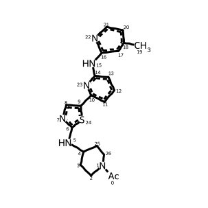 CC(=O)N1CCC(Nc2ncc(-c3cccc(Nc4cc(C)ccn4)n3)s2)CC1